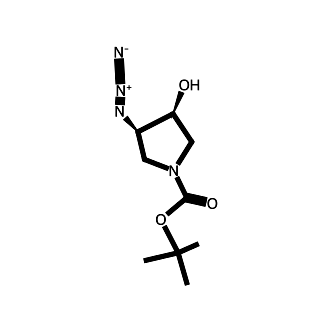 CC(C)(C)OC(=O)N1C[C@H](O)[C@H](N=[N+]=[N-])C1